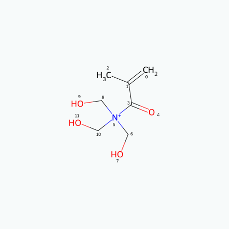 C=C(C)C(=O)[N+](CO)(CO)CO